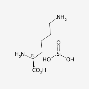 NCCCC[C@H](N)C(=O)O.O=[Si](O)O